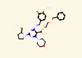 COc1ccc(CNc2nc(N3CCCC3CO)nc(N3CCC(O)CC3)c2C(=O)OCCOCc2ccccc2)cc1Cl